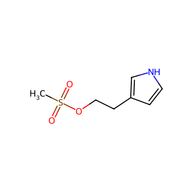 CS(=O)(=O)OCCc1cc[nH]c1